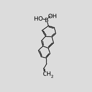 C=CCc1ccc2cc3cc(B(O)O)ccc3cc2c1